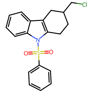 O=S(=O)(c1ccccc1)n1c2c(c3ccccc31)CC(CCl)CC2